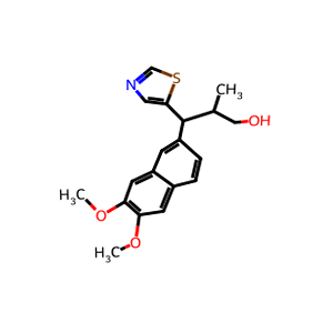 COc1cc2ccc(C(c3cncs3)C(C)CO)cc2cc1OC